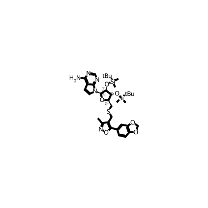 Cc1noc(-c2ccc3c(c2)OCO3)c1CSC[C@H]1O[C@@H](n2ccc3c(N)ncnc32)[C@H](O[Si](C)(C)C(C)(C)C)[C@@H]1O[Si](C)(C)C(C)(C)C